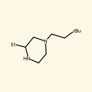 CCC1CN(CCC(C)(C)C)CCN1